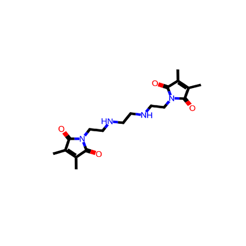 CC1=C(C)C(=O)N(CCNCCNCCN2C(=O)C(C)=C(C)C2=O)C1=O